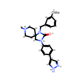 COc1cccc(CN2C(=O)N(c3ccc(-c4cn[nH]c4)cc3)CC23CCN(C)CC3)c1